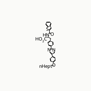 CCCCCCCOc1ccc(-c2cnc(-c3ccc(C[C@H](NC(=O)c4cc5ccccc5s4)C(=O)O)cc3)nc2)cc1